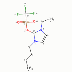 CCCCN1C=CN(CC)C1OS(=O)(=O)C(F)(F)F